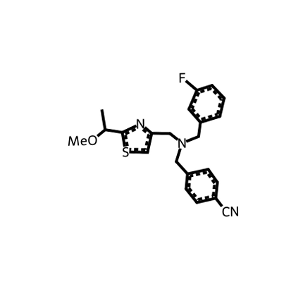 COC(C)c1nc(CN(Cc2ccc(C#N)cc2)Cc2cccc(F)c2)cs1